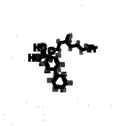 CC(C)CCCC(C)CCOC1(B(O)O)C=CC(c2ccccc2)C=C1